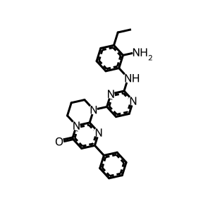 CCc1cccc(Nc2nccc(N3CCCn4c3nc(-c3ccccc3)cc4=O)n2)c1N